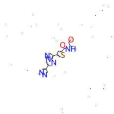 COCC(C)NC(=O)c1cc(-c2cnn3cc(-c4cnn(C)c4)cnc23)cs1